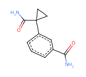 NC(=O)c1cccc(C2(C(N)=O)CC2)c1